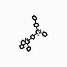 c1ccc(-c2ccc(-c3cc(-c4ccc(-c5cc(-c6ccccc6)c6c(ccc7ccccc76)n5)cc4)nc(-c4ccccc4)n3)cc2)cc1